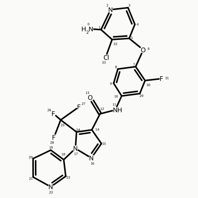 Nc1nccc(Oc2ccc(NC(=O)c3cnn(-c4cccnc4)c3C(F)(F)F)cc2F)c1Cl